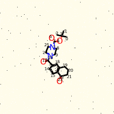 CC(C)(C)OC(=O)N1CCN(C(=O)c2ccc3c(c2)CCCC3=O)CC1